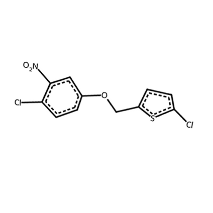 O=[N+]([O-])c1cc(OCc2ccc(Cl)s2)ccc1Cl